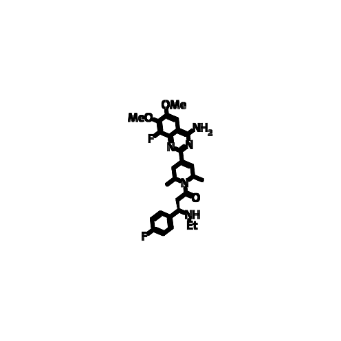 CCN[C@H](CC(=O)N1C(C)C=C(c2nc(N)c3cc(OC)c(OC)c(F)c3n2)CC1C)c1ccc(F)cc1